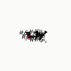 CC[C@H]1C[C@]1(NC(=O)[C@@H]1[C@@H]2[C@H](CN1C(=O)[C@@H](NCON[C@H](CN1C(=O)CC(C)(C)CC1=O)C(C)(C)C)C(C)(C)C)C2(C)C)C(=O)C(=O)NCC1CC1